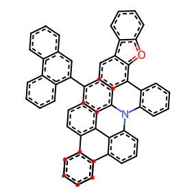 c1ccc(-c2ccccc2-c2c(-c3ccccc3)cccc2N(c2ccc(-c3cc4ccccc4c4ccccc34)cc2)c2ccccc2-c2cccc3c2oc2ccccc23)cc1